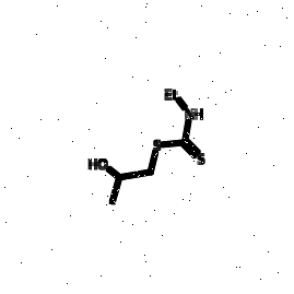 CCNC(=S)SCC(C)O